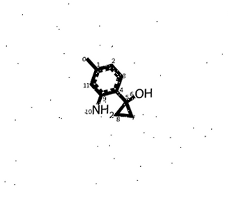 Cc1ccc(C2(O)CC2)c(N)c1